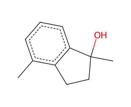 Cc1cccc2c1CCC2(C)O